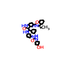 CC[C@@H](NC(=O)c1ccc2c(c1)/C(=C(/Nc1cccc(NC(=O)Nc3ccc(O)cc3)c1)c1ccccc1)C(=O)N2)c1ccccc1